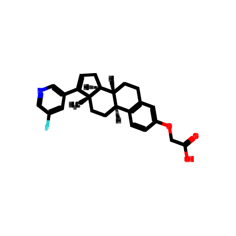 C[C@]12CC[C@@H]3c4ccc(OCC(=O)O)cc4CC[C@H]3[C@@H]1CC=C2c1cncc(F)c1